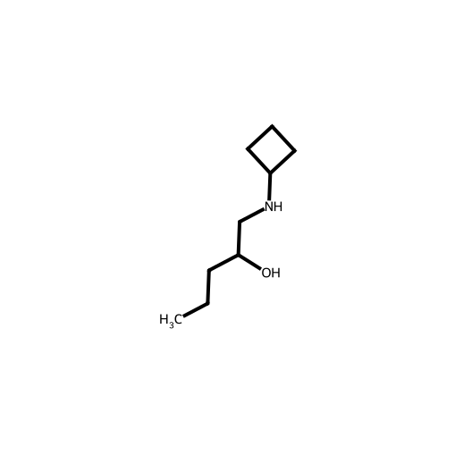 CCCC(O)CNC1CCC1